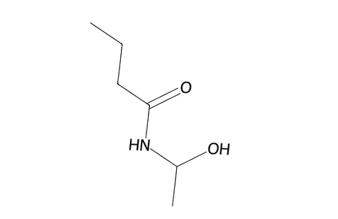 CCCC(=O)NC(C)O